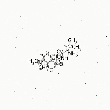 CC(C)C[C@H](N)C(=O)N[SH](=O)(I)c1cccc2c(N(C)C)cccc12